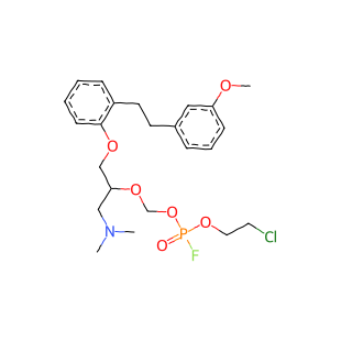 COc1cccc(CCc2ccccc2OCC(CN(C)C)OCOP(=O)(F)OCCCl)c1